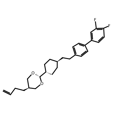 C=CCC[C@H]1CO[C@H]([C@H]2CC[C@H](CCc3ccc(-c4ccc(F)c(F)c4)cc3)CC2)OC1